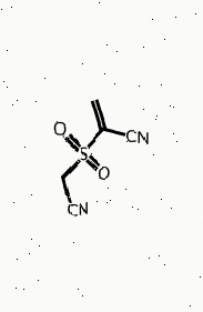 C=C(C#N)S(=O)(=O)CC#N